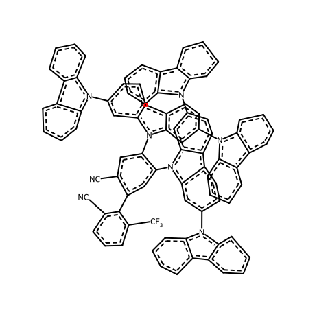 N#Cc1cc(-n2c3cc(-n4c5ccccc5c5ccccc54)ccc3c3ccc(-n4c5ccccc5c5ccccc54)cc32)c(-n2c3cc(-n4c5ccccc5c5ccccc54)ccc3c3ccc(-n4c5ccccc5c5ccccc54)cc32)cc1-c1c(C#N)cccc1C(F)(F)F